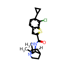 CC1(C)[C@@H](NC(=O)c2cc3ccc(C4CC4)c(Cl)c3s2)C2CCN1CC2